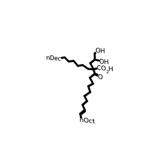 CCCCCCCCC=CCCCCCCCC(=O)C(CCCCCCCCCCCCCCCC)(CC(O)CO)C(=O)O